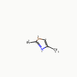 CC(C)c1nc(C(F)(F)F)cs1